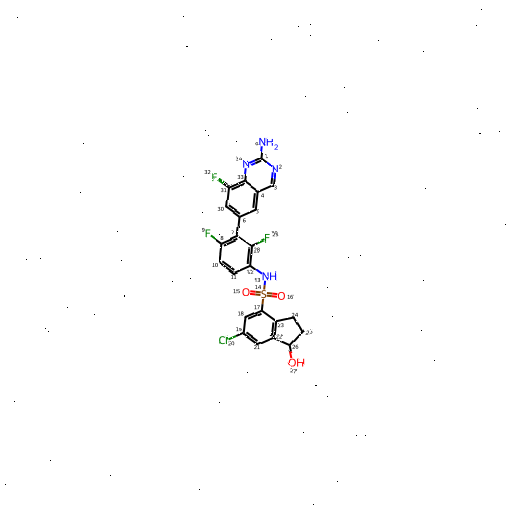 Nc1ncc2cc(-c3c(F)ccc(NS(=O)(=O)c4cc(Cl)cc5c4CCC5O)c3F)cc(F)c2n1